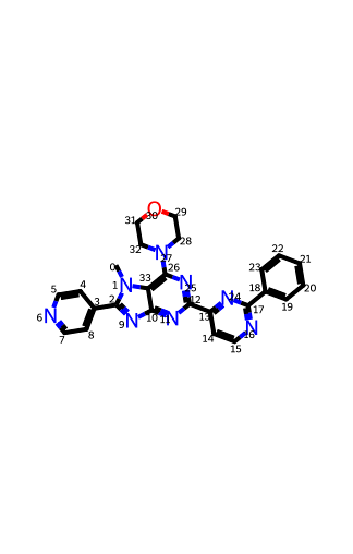 Cn1c(-c2ccncc2)nc2nc(-c3ccnc(-c4ccccc4)n3)nc(N3CCOCC3)c21